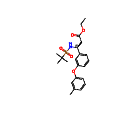 CCOC(=O)C[C@H](NS(=O)(=O)C(C)(C)C)c1cccc(Oc2cccc(C)c2)c1